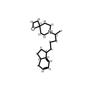 CC(CCCC1CCC2CC=CC=C21)N1CCC2(CCO2)CC1